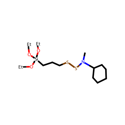 CCO[Si](CCCSSN(C)C1CCCCC1)(OCC)OCC